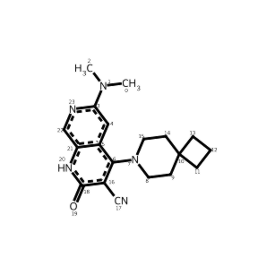 CN(C)c1cc2c(N3CCC4(CCC4)CC3)c(C#N)c(=O)[nH]c2cn1